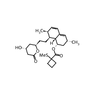 CSC1(C(=O)O[C@H]2C[C@@H](C)C=C3C=C[C@H](C)[C@H](CC[C@@H]4C[C@@H](O)CC(=O)O4)[C@H]32)CCC1